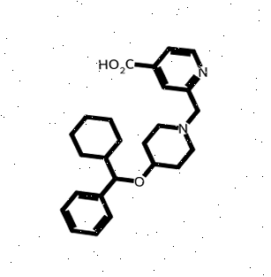 O=C(O)c1ccnc(CN2CCC(OC(c3ccccc3)C3CCCCC3)CC2)c1